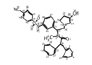 CN(C(=O)C(c1ccccc1)c1ccccc1)C(CN1CC[C@@H](O)C1)c1cccc(NS(=O)(=O)c2ccc(C#N)nc2)c1